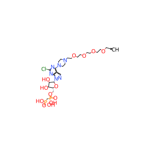 C#CCOCCOCCOCCOCCN1CCN(c2nc(Cl)nc3c2cnn3[C@@H]2O[C@H](COP(=O)(O)CP(=O)(O)O)[C@@H](O)[C@H]2O)CC1